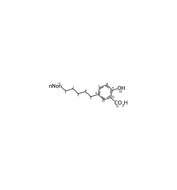 CCCCCCCCCCCCCCc1ccc(O)c(C(=O)O)c1